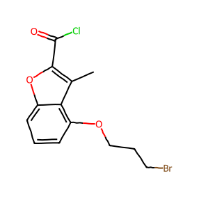 Cc1c(C(=O)Cl)oc2cccc(OCCCBr)c12